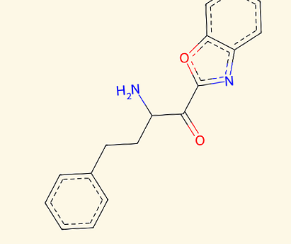 NC(CCc1ccccc1)C(=O)c1nc2ccccc2o1